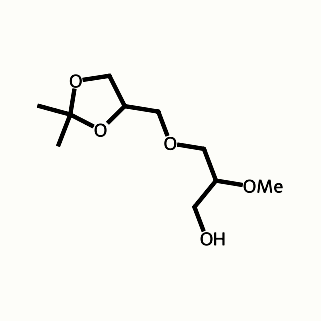 COC(CO)COCC1COC(C)(C)O1